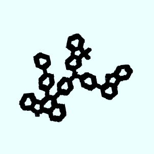 CC1(C)c2ccccc2-c2ccc(N(c3ccc(-c4c(-c5ccc(-c6ccccc6)cc5)c5c6ccccc6sc5c5ccccc45)cc3)c3ccc(-c4cccc5c4sc4ccccc45)cc3)cc21